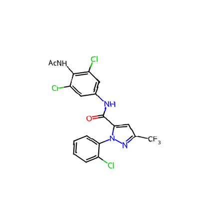 CC(=O)Nc1c(Cl)cc(NC(=O)c2cc(C(F)(F)F)nn2-c2ccccc2Cl)cc1Cl